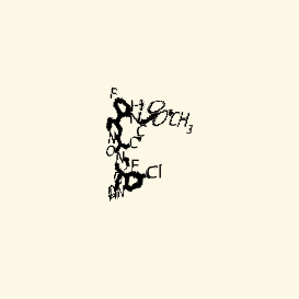 CCOC(=O)C1CCCCC(C(=O)N2CC[C@@]3(C2)OC(=O)Nc2ccc(Cl)c(F)c23)c2cc(ccn2)-c2cc(F)ccc2N1